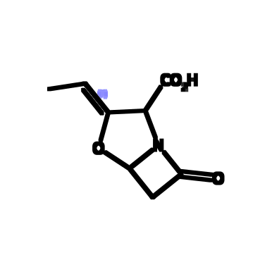 C/C=C1\OC2CC(=O)N2C1C(=O)O